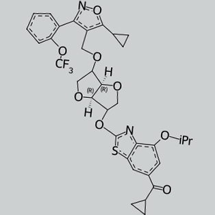 CC(C)Oc1cc(C(=O)C2CC2)cc2sc(OC3CO[C@@H]4C(OCc5c(-c6ccccc6OC(F)(F)F)noc5C5CC5)CO[C@H]34)nc12